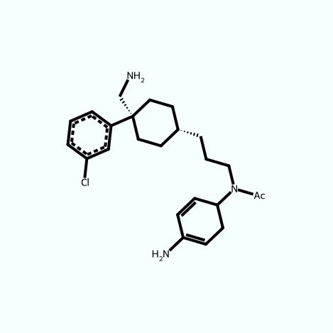 CC(=O)N(CCC[C@H]1CC[C@](CN)(c2cccc(Cl)c2)CC1)C1C=CC(N)=CC1